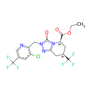 CCOC(=O)[C@H]1C[C@@H](C(F)(F)F)Cc2nn(Cc3ncc(C(F)(F)F)cc3Cl)c(=O)n21